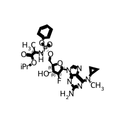 CC(C)OC(=O)[C@@H](C)N[P@](=O)(OC[C@H]1O[C@@H](n2cnc3c(N(C)C4CC4)nc(N)nc32)[C@@H](F)[C@@H]1O)Oc1ccccc1